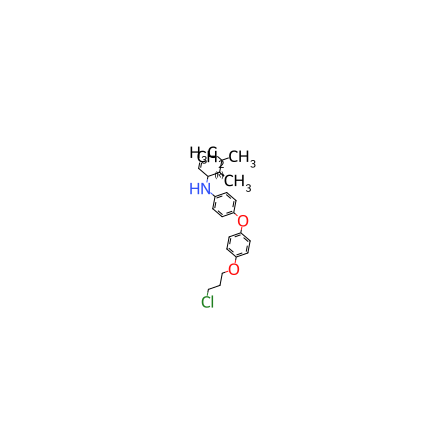 C=CC(Nc1ccc(Oc2ccc(OCCCCl)cc2)cc1)[C@H](C)C(C)C